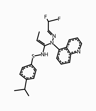 C/C=C(/NSc1ccc(C(C)C)cc1)N(/N=C/C(F)F)c1cccc2ncccc12